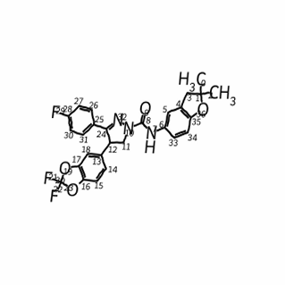 CC1(C)Cc2cc(NC(=O)N3CC(c4ccc5c(c4)OC(F)(F)O5)C(c4ccc(F)cc4)=N3)ccc2O1